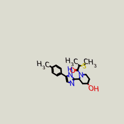 CSC(C)C(=O)N1CCC(O)CC1c1ncc(-c2ccc(C)cc2)[nH]1